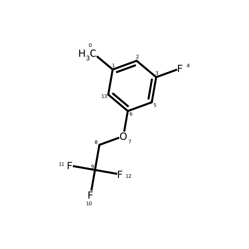 Cc1cc(F)cc(OCC(F)(F)F)c1